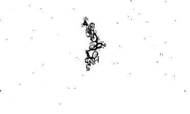 O=C1NC(=S)S/C1=C/c1cc2cncc(C3=CCN(S(=O)(=O)C4CC4)CC3)c2o1